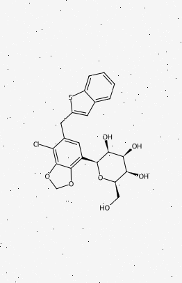 OC[C@H]1O[C@@H](c2cc(Cc3cc4ccccc4s3)c(Cl)c3c2OCO3)[C@@H](O)[C@@H](O)[C@H]1O